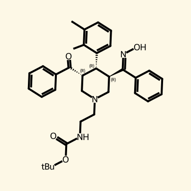 Cc1cccc([C@H]2[C@@H](C(=O)c3ccccc3)CN(CCNC(=O)OC(C)(C)C)C[C@@H]2C(=NO)c2ccccc2)c1C